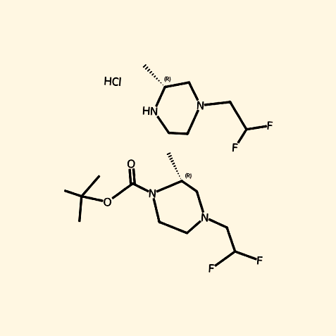 C[C@@H]1CN(CC(F)F)CCN1.C[C@@H]1CN(CC(F)F)CCN1C(=O)OC(C)(C)C.Cl